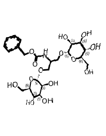 O=C(NC(CO[C@H]1O[C@H](CO)[C@@H](O)[C@H](O)[C@@H]1O)CO[C@H]1O[C@H](CO)[C@@H](O)[C@H](O)[C@@H]1O)OCc1ccccc1